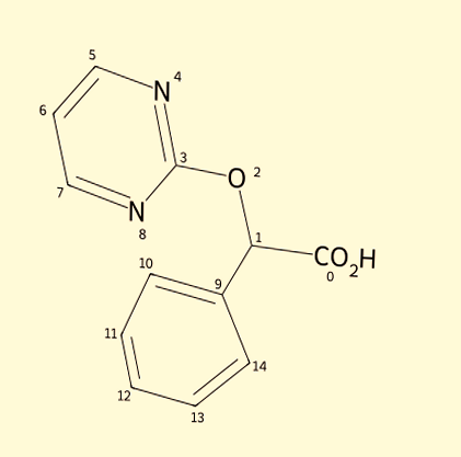 O=C(O)C(Oc1ncccn1)c1ccccc1